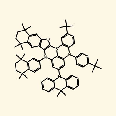 CC(C)(C)c1ccc(N2c3ccc(C(C)(C)C)cc3B3c4oc5cc6c(cc5c4N(c4ccc5c(c4)C(C)(C)CCC5(C)C)c4cc(N5c7ccccc7C(C)(C)c7ccccc75)cc2c43)C(C)(C)CCC6(C)C)cc1